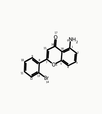 Nc1cccc2oc(-c3ccccc3Br)cc(=O)c12